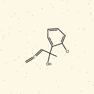 C=C=CC(C)(O)c1ccccc1Cl